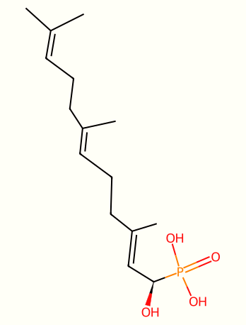 CC(C)=CCC/C(C)=C/CC/C(C)=C/[C@H](O)P(=O)(O)O